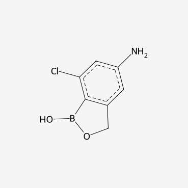 Nc1cc(Cl)c2c(c1)COB2O